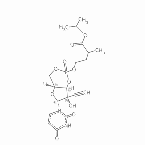 C#C[C@@]1(O)[C@@H]2OP(=O)(OCCC(C)C(=O)OC(C)C)OC[C@H]2O[C@H]1n1ccc(=O)[nH]c1=O